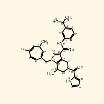 CC1C=C(F)C=CC(Cn2nc(C(=O)Nc3cccc([C@H](C)O)c3)c3c2C(C)CN(C(=O)c2ccc[nH]2)C3)=C1